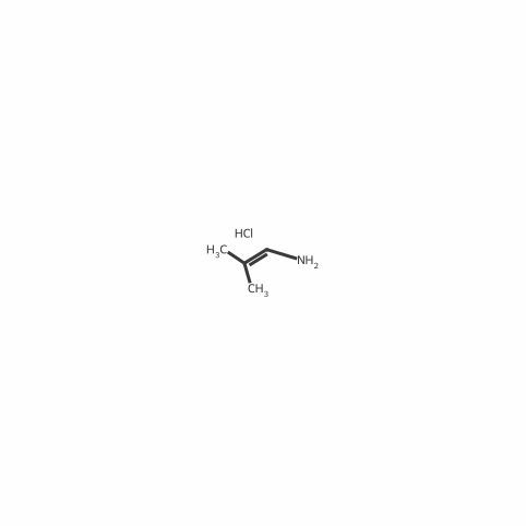 CC(C)=CN.Cl